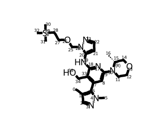 Cc1cnn(C)c1-c1cc(N2CCOC[C@H]2C)nc(Nc2ccnn2COCC[Si](C)(C)C)c1CO